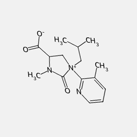 Cc1cccnc1[N+]1(CC(C)C)CC(C(=O)[O-])N(C)C1=O